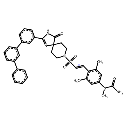 Cc1cc(N(C)C(N)=O)cc(C)c1/C=C/S(=O)(=O)N1CCC2(CC1)N=C(c1cccc(-c3cccc(-c4ccccc4)c3)c1)NC2=O